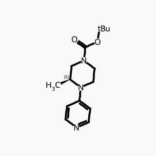 C[C@H]1CN(C(=O)OC(C)(C)C)CCN1c1ccncc1